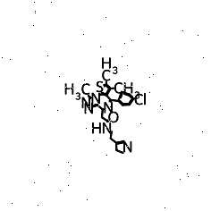 Cc1sc2c(c1C)C(c1ccc(Cl)cc1)=NC(CC(=O)NCCC1=CN=CC1)c1nnc(C)n1-2